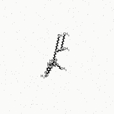 CCCCCCCCCCCN(CC)CCCN(CCCCCCCCCCC)CCCCCC(=O)Nc1nc(OCCCC)nc2c1[nH]c(=O)n2Cc1cccc(CC(=O)OC)c1